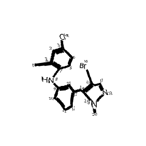 Cc1cc(Cl)ccc1Nc1cccc(-c2c(Br)cnn2C)c1